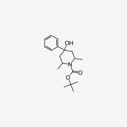 CC1CC(O)(c2ccccc2)CC(C)N1C(=O)OC(C)(C)C